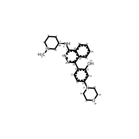 CN1CCC[C@@H](Nc2nnc(-c3ccc(N4CCOCC4)cc3O)c3ccccc23)C1